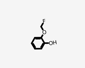 Oc1ccccc1OCF